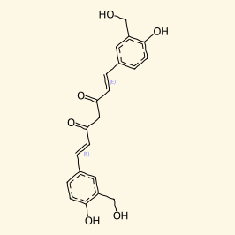 O=C(/C=C/c1ccc(O)c(CO)c1)CC(=O)/C=C/c1ccc(O)c(CO)c1